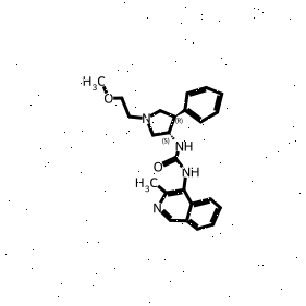 COCCN1C[C@@H](NC(=O)Nc2c(C)ncc3ccccc23)[C@H](c2ccccc2)C1